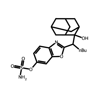 CCCCC(c1nc2ccc(OS(N)(=O)=O)cc2o1)C1(O)C2CC3CC(C2)CC1C3